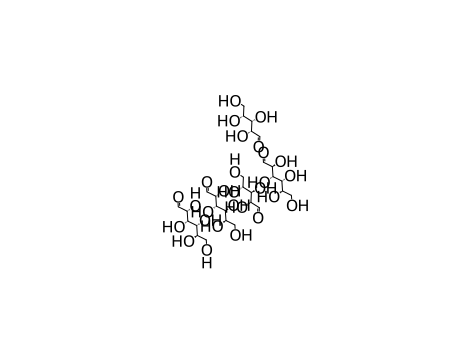 O=C[C@@H](O)[C@@H](O)[C@H](O)[C@H](O)CO.O=C[C@@H](O)[C@H](O)[C@H](O)CO.O=C[C@H](O)[C@@H](O)[C@@H](O)[C@H](O)CO.O=C[C@H](O)[C@@H](O)[C@H](O)CO.O=C[C@H](O)[C@@H](O)[C@H](O)[C@H](O)CO